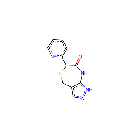 O=C1Nc2[nH]ncc2CSC1c1ccccn1